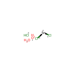 Cl.O.O.[Cl][Sn][Cl]